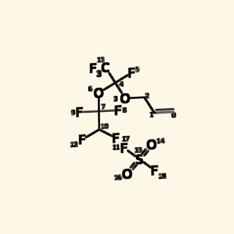 C=CCOC(F)(OC(F)(F)C(F)F)C(F)(F)F.O=S(=O)(F)F